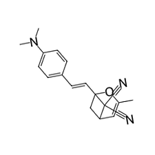 CC1=CC2CC(/C=C/c3ccc(N(C)C)cc3)(O1)C2(C#N)C#N